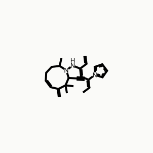 C#CC1N(N/C(C=C)=C/C(=C\C)n2cccc2)C(C)CC/C=C\C(=C)C1(C)C